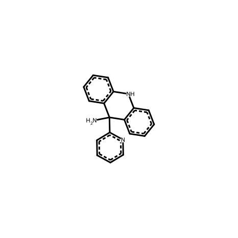 NC1(c2ccccn2)c2ccccc2Nc2ccccc21